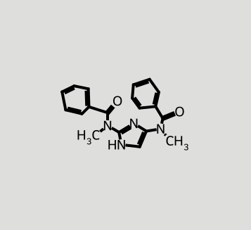 CN(C(=O)c1ccccc1)c1c[nH]c(N(C)C(=O)c2ccccc2)n1